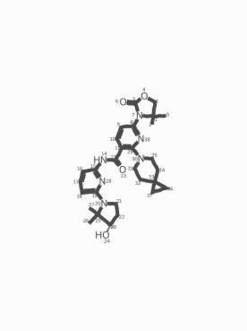 CC1(C)COC(=O)N1c1ccc(C(=O)Nc2cccc(N3CC[C@H](O)C3(C)C)n2)c(N2CCC3(CC2)CC3)n1